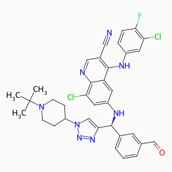 CC(C)(C)N1CCC(n2cc([C@@H](Nc3cc(Cl)c4ncc(C#N)c(Nc5ccc(F)c(Cl)c5)c4c3)c3cccc(C=O)c3)nn2)CC1